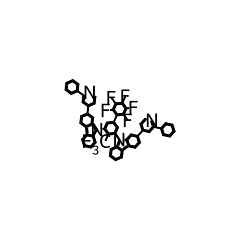 Fc1c(F)c(F)c(-c2cc(-n3c4ccccc4c4ccc(-c5ccnc(-c6ccccc6)c5)cc43)c(C(F)(F)F)c(-n3c4ccccc4c4ccc(-c5ccnc(-c6ccccc6)c5)cc43)c2)c(F)c1F